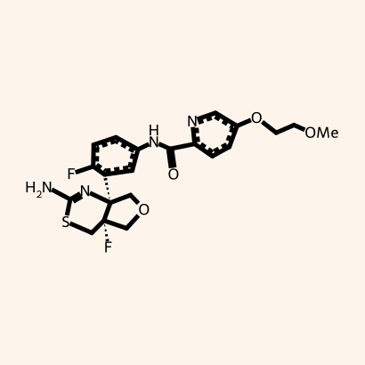 COCCOc1ccc(C(=O)Nc2ccc(F)c([C@]34COC[C@@]3(F)CSC(N)=N4)c2)nc1